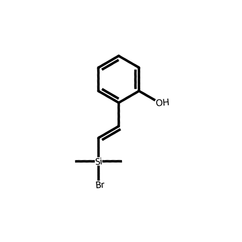 C[Si](C)(Br)/C=C/c1ccccc1O